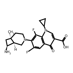 C[C@]12CCN(c3c(F)cc4c(=O)c(C(=O)O)cn(C5CC5)c4c3F)C[C@H]1[C@@H](N)C2